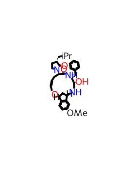 COc1ccc2c(c1)[C@@H]1C[C@H]2OCC=CC[C@H](N2CC[C@H](CC(C)C)C2=O)C(=O)N[C@@H](Cc2ccccc2)[C@H](O)CN1